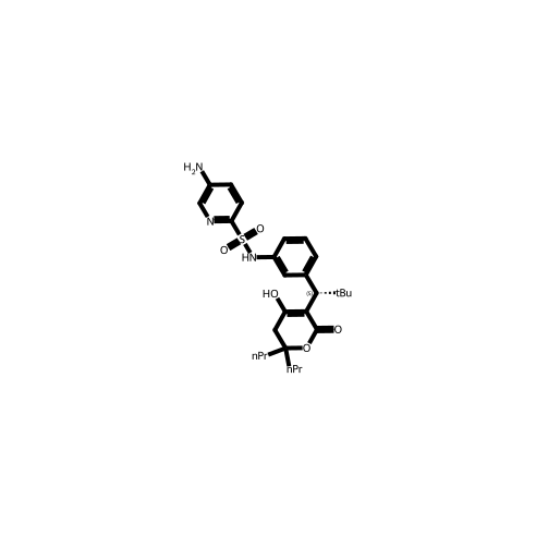 CCCC1(CCC)CC(O)=C([C@H](c2cccc(NS(=O)(=O)c3ccc(N)cn3)c2)C(C)(C)C)C(=O)O1